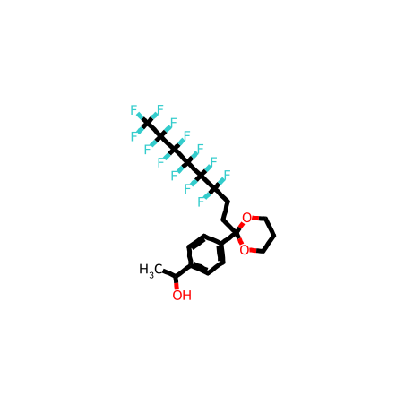 CC(O)c1ccc(C2(CCC(F)(F)C(F)(F)C(F)(F)C(F)(F)C(F)(F)C(F)(F)F)OCCCO2)cc1